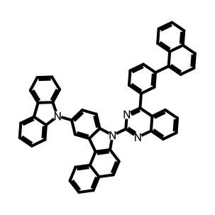 c1cc(-c2cccc3ccccc23)cc(-c2nc(-n3c4ccc(-n5c6ccccc6c6ccccc65)cc4c4c5ccccc5ccc43)nc3ccccc23)c1